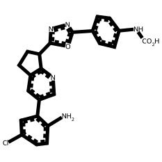 Nc1ccc(Cl)cc1-c1cnc2c(c1)CCC2c1nnc(-c2ccc(NC(=O)O)cc2)o1